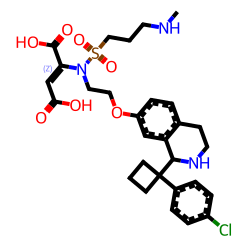 CNCCCS(=O)(=O)N(CCOc1ccc2c(c1)C(C1(c3ccc(Cl)cc3)CCC1)NCC2)/C(=C\C(=O)O)C(=O)O